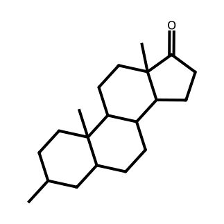 CC1CCC2(C)C(CCC3C4CCC(=O)C4(C)CCC32)C1